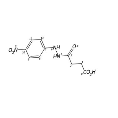 O=C(O)CCC(=O)NNc1ccc([N+](=O)[O-])cc1